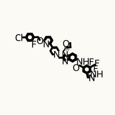 O=C(Nc1ccc2c(c1)nc(CN1CC=C(c3cccc(OCc4ccc(Cl)cc4F)n3)CC1)n2C[C@@H]1CCO1)c1cc(C(F)(F)F)c2[nH]ncc2c1